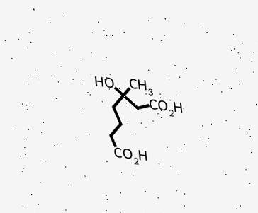 CC(O)(CCCC(=O)O)CC(=O)O